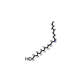 CCCCCCCC/C=C\CCCCCCCCCCCCO